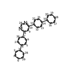 c1ccc(-c2ccc(-c3cc(-c4ccc(-c5ccccc5)cc4)ncn3)cc2)cc1